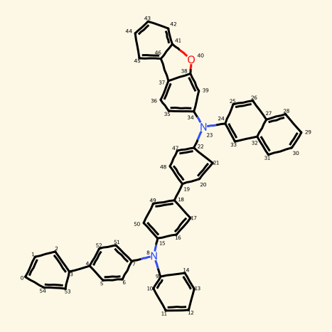 c1ccc(-c2ccc(N(c3ccccc3)c3ccc(-c4ccc(N(c5ccc6ccccc6c5)c5ccc6c(c5)oc5ccccc56)cc4)cc3)cc2)cc1